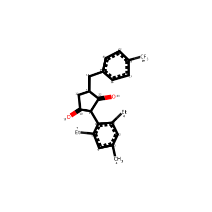 CCc1cc(C)cc(CC)c1C1C(=O)CC(Cc2ccc(C(F)(F)F)cc2)C1=O